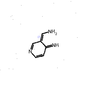 N=C1C=CN=C/C1=C/N